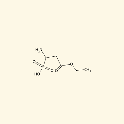 CCOC(=O)CC(N)S(=O)(=O)O